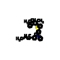 CC/C=C\C=C/C(C)C1=CC=C[C@](C)(N(c2ccccc2)c2ccc(-c3cccc4c5c(sc34)C3=C(C[C@H]5C)C(C)(C)c4ccccc43)cc2)C1